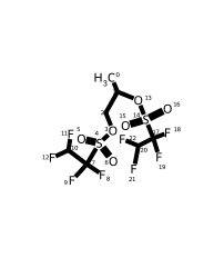 CC(COS(=O)(=O)C(F)(F)C(F)F)OS(=O)(=O)C(F)(F)C(F)F